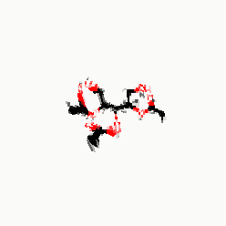 CC(=O)O[C@H]([C@@H](C=O)OC(C)=O)[C@@H](CO)OC(C)=O